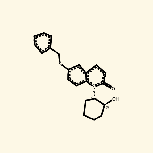 O=c1ccc2cc(SCc3ccccc3)ccc2n1[C@H]1CCCC[C@@H]1O